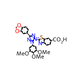 COc1cc(-n2nc(-c3ccc4c(c3)OCO4)n[n+]2-c2nc3ccc(C(=O)O)cc3s2)cc(OC)c1OC